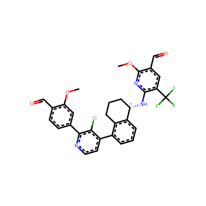 COc1cc(-c2nccc(-c3cccc4c3CCC[C@@H]4Nc3nc(OC)c(C=O)cc3C(F)(F)F)c2Cl)ccc1C=O